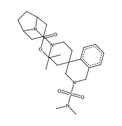 CC(C)OC(=O)N1C2CCC1CC(N1CCC3(CC1)CN(S(=O)(=O)N(C)C)Cc1ccccc13)C2